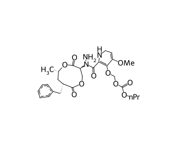 CCCOC(=O)OCOC1=C(C(=O)N(N)[C@H]2COC(=O)[C@H](Cc3ccccc3)C[C@H](C)OC2=O)NCC=C1OC